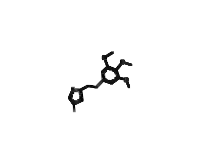 COc1cc(CCc2cc(C)cs2)cc(OC)c1OC